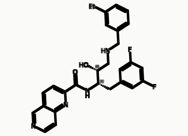 CCc1cccc(CNC[C@@H](O)[C@H](Cc2cc(F)cc(F)c2)NC(=O)c2ccc3cnccc3n2)c1